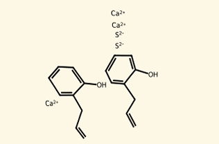 C=CCc1ccccc1O.C=CCc1ccccc1O.[Ca+2].[Ca+2].[Ca+2].[S-2].[S-2]